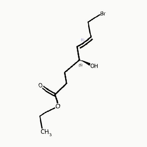 CCOC(=O)CC[C@H](O)/C=C/CBr